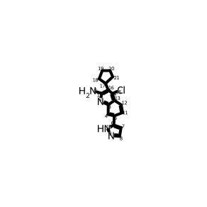 Nc1nc2cc(-c3ccn[nH]3)ccc2c(Cl)c1C1CCCC1